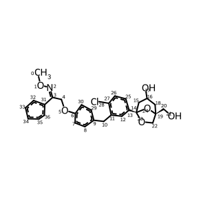 CO/N=C(/COc1ccc(Cc2cc([C@]34CC(O)C[C@](CO)(CO3)O4)ccc2Cl)cc1)c1ccccc1